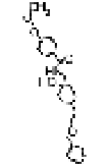 COCOc1ccc(C(=O)NCC2(O)CCC(CCOCc3ccccc3)CC2)cc1